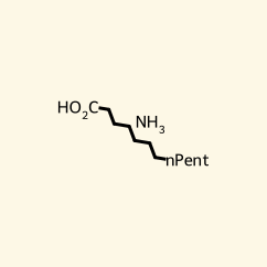 CCCCCCCCCCCC(=O)O.N